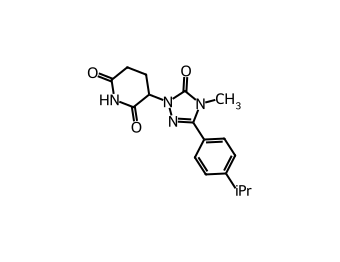 CC(C)c1ccc(-c2nn(C3CCC(=O)NC3=O)c(=O)n2C)cc1